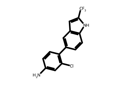 Nc1ccc(-c2ccc3[nH]c(C(F)(F)F)cc3c2)c(Cl)c1